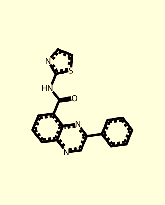 O=C(Nc1nccs1)c1cccc2ncc(-c3ccccc3)nc12